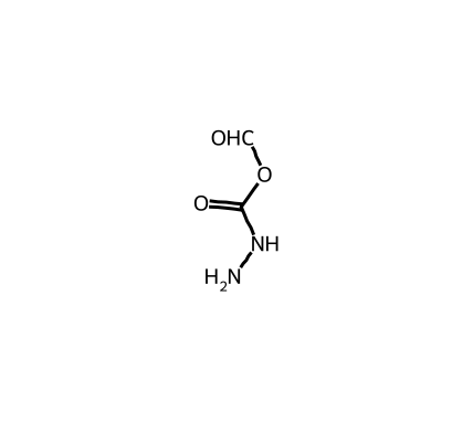 NNC(=O)OC=O